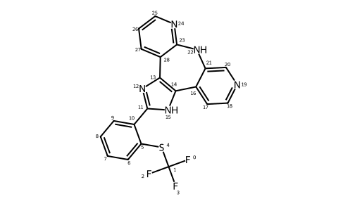 FC(F)(F)Sc1ccccc1-c1nc2c([nH]1)-c1ccncc1Nc1ncccc1-2